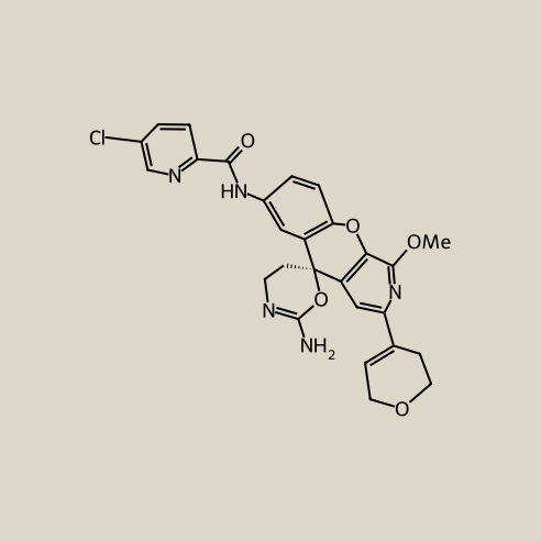 COc1nc(C2=CCOCC2)cc2c1Oc1ccc(NC(=O)c3ccc(Cl)cn3)cc1[C@@]21CCN=C(N)O1